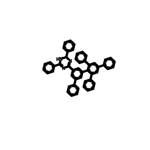 c1ccc(C2=NC(c3cc(-c4ccccc4)cc(-c4c(-c5ccccc5)cc(-c5ccccc5)cc4-c4ccccc4)c3)=NC(c3ccccc3)N2)cc1